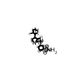 Cc1ccncc1-c1ccnc2c1cnn2-c1cccc(S(N)(=O)=O)c1